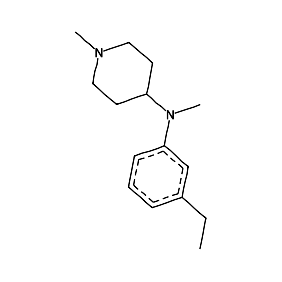 CCc1cccc(N(C)C2CCN(C)CC2)c1